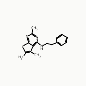 Cc1nc(NCCc2ccccc2)c2c(C)c(C)sc2n1